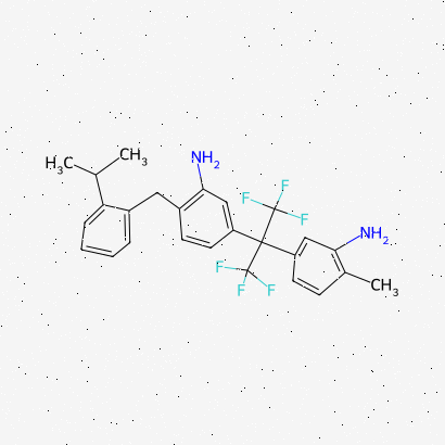 Cc1ccc(C(c2ccc(Cc3ccccc3C(C)C)c(N)c2)(C(F)(F)F)C(F)(F)F)cc1N